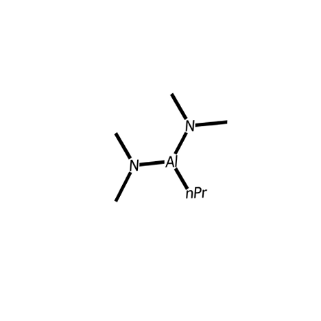 CC[CH2][Al]([N](C)C)[N](C)C